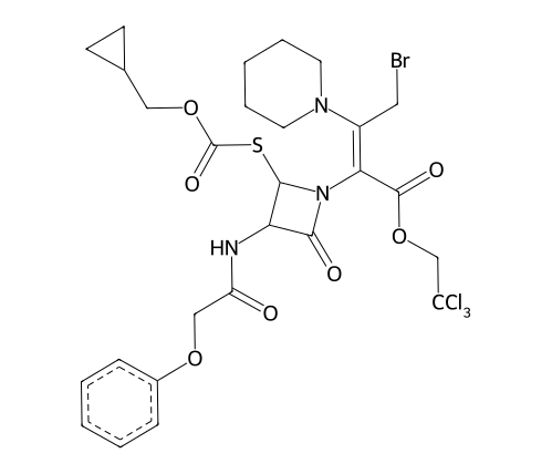 O=C(COc1ccccc1)NC1C(=O)N(C(C(=O)OCC(Cl)(Cl)Cl)=C(CBr)N2CCCCC2)C1SC(=O)OCC1CC1